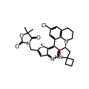 CC1(C)OC(=O)N(Cc2cc3nccc(-c4cc(Cl)cc5c4N([C@@H]4CNC6(CCC6)C4)CCC5)c3s2)C1=O